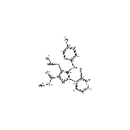 CCC(C)NCc1c(C(=O)NC(C)C)nn(-c2ccccc2Cl)c1Oc1ccc(Cl)cc1